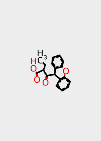 CCC(C(=O)O)C(=O)C1c2ccccc2Oc2ccccc21